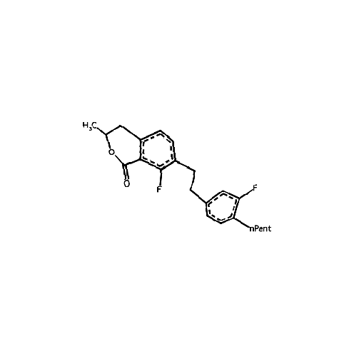 CCCCCc1ccc(CCc2ccc3c(c2F)C(=O)OC(C)C3)cc1F